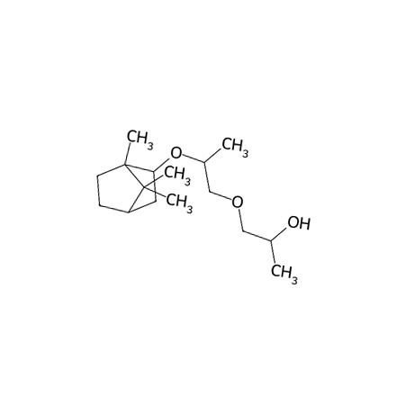 CC(O)COCC(C)OC1CC2CCC1(C)C2(C)C